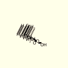 C=C.C=C.C=C.C=C.C=C.C=C.C=C.C=C.C=C.C=C.C=CC(=O)OCCO